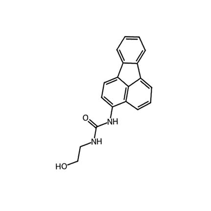 O=C(NCCO)Nc1ccc2c3c(cccc13)-c1ccccc1-2